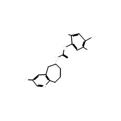 O=C(Nc1cc(Cl)c(Cl)cc1F)N[C@@H]1CCCc2ncc(F)cc2C1